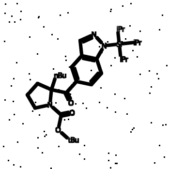 CCCCC1(C(=O)c2ccc3c(cnn3[Si](C(C)C)(C(C)C)C(C)C)c2)CCCN1C(=O)OC(C)(C)C